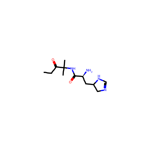 CCC(=O)C(C)(C)NC(=O)[C@@H](N)CC1CN=CN1